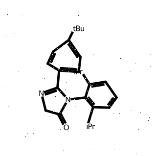 CC(C)c1cccc(C(C)C)c1N1C(=O)CN=C1c1ccc(C(C)(C)C)cc1